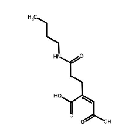 CCCCNC(=O)CC/C(=C/C(=O)O)C(=O)O